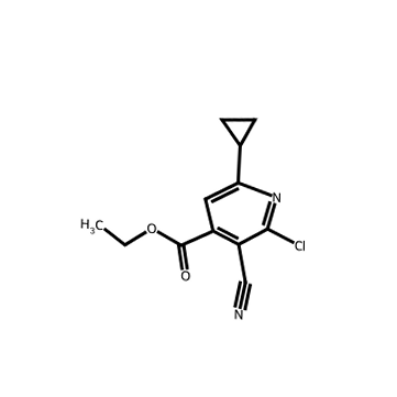 CCOC(=O)c1cc(C2CC2)nc(Cl)c1C#N